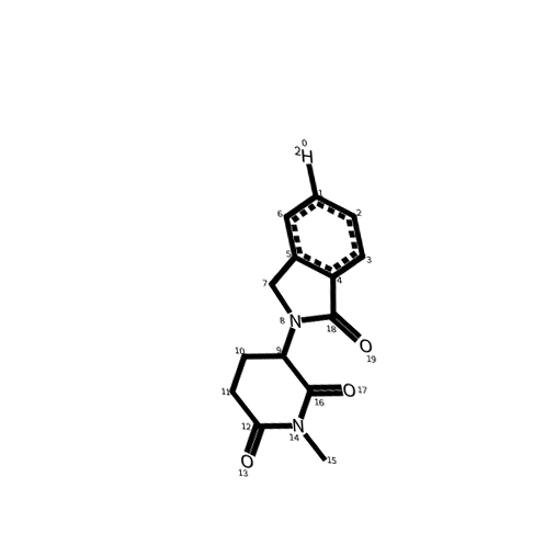 [2H]c1ccc2c(c1)CN(C1CCC(=O)N(C)C1=O)C2=O